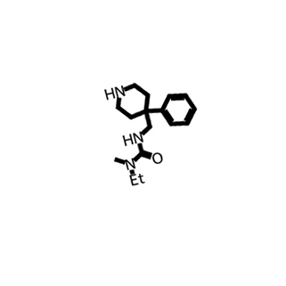 CCN(C)C(=O)NCC1(c2ccccc2)CCNCC1